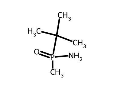 CC(C)(C)P(C)(N)=O